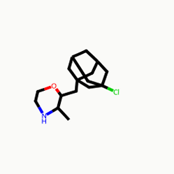 CC1NCCOC1CC12CC3CC(CC(Cl)(C3)C1)C2